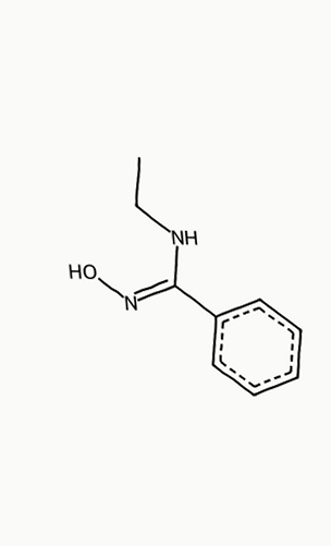 CCNC(=NO)c1ccccc1